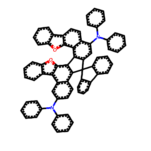 c1ccc(N(c2ccccc2)c2ccc3c4c(c5oc6ccccc6c5c3c2)-c2c(cc(N(c3ccccc3)c3ccccc3)c3ccc5c6ccccc6oc5c23)C42c3ccccc3-c3ccccc32)cc1